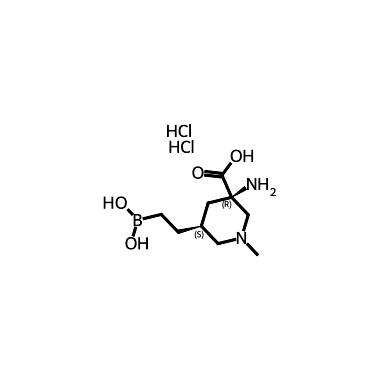 CN1C[C@@H](CCB(O)O)C[C@](N)(C(=O)O)C1.Cl.Cl